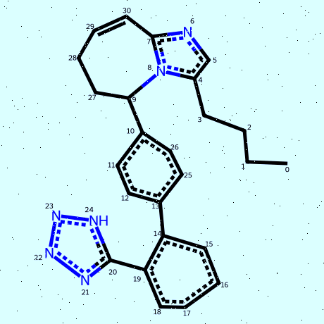 CCCCc1cnc2n1C(c1ccc(-c3ccccc3-c3nnn[nH]3)cc1)CCC=C2